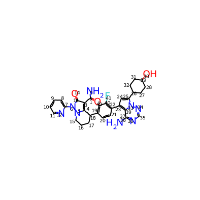 NC(=O)c1c2n(n(-c3ccccn3)c1=O)CCCC2c1ccc(-c2cc(C3CCC(O)CC3)n3ncnc(N)c23)c(F)c1